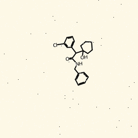 O=C(NCc1ccccc1)C(c1cccc(Cl)c1)C1(O)CCCCC1